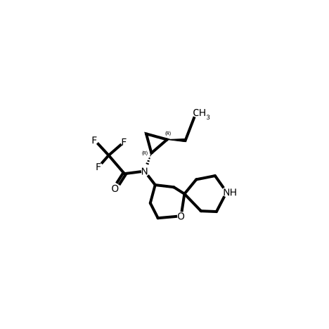 CC[C@@H]1C[C@H]1N(C(=O)C(F)(F)F)C1CCOC2(CCNCC2)C1